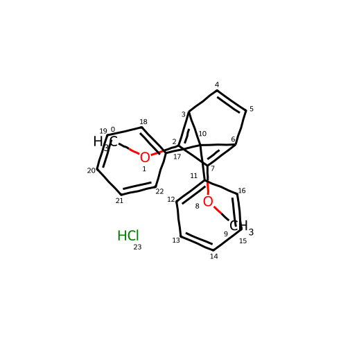 COC1=C2C=CC(=C1OC)C2(c1ccccc1)c1ccccc1.Cl